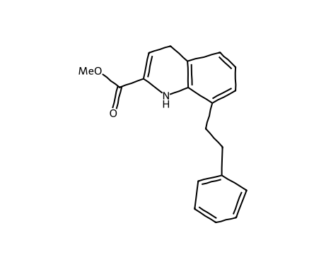 COC(=O)C1=CCc2cccc(CCc3ccccc3)c2N1